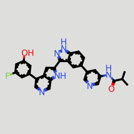 CC(C)C(=O)Nc1cncc(-c2ccc3[nH]nc(-c4cc5c(-c6cc(O)cc(F)c6)cncc5[nH]4)c3c2)c1